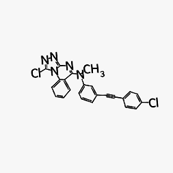 CN(c1cccc(C#Cc2ccc(Cl)cc2)c1)c1nc2nnc(Cl)n2c2ccccc12